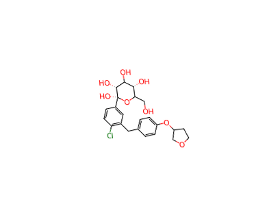 OCC1O[C@@](O)(c2ccc(Cl)c(Cc3ccc(OC4CCOC4)cc3)c2)[C@H](O)C(O)[C@@H]1O